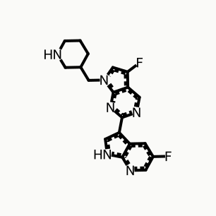 Fc1cnc2[nH]cc(-c3ncc4c(F)cn(CC5CCCNC5)c4n3)c2c1